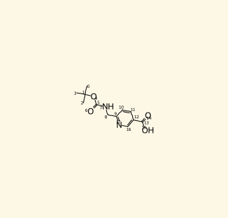 CC(C)(C)OC(=O)NCc1ccc(C(=O)O)cn1